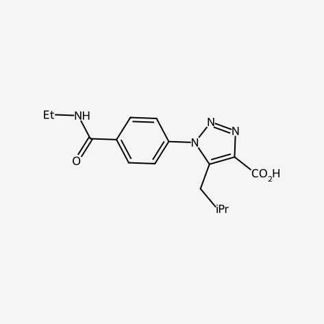 CCNC(=O)c1ccc(-n2nnc(C(=O)O)c2CC(C)C)cc1